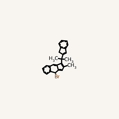 CC1=C(C(C)(C)C2=Cc3ccccc3C2)C2=Cc3ccccc3C(Br)C2=C1